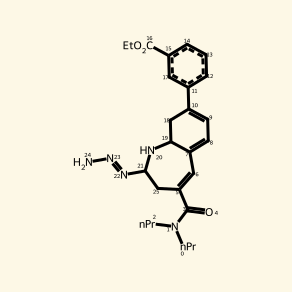 CCCN(CCC)C(=O)C1=CC2=CC=C(c3cccc(C(=O)OCC)c3)CC2NC(N=NN)C1